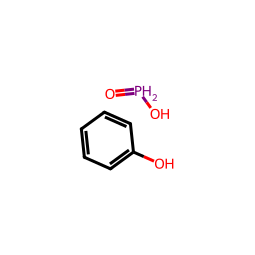 O=[PH2]O.Oc1ccccc1